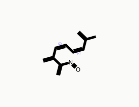 C=C(C)/C=C\C=C/C(=C)C(=C)N=O